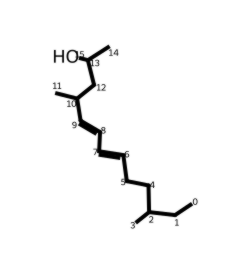 CCC(C)CCC=CC=CC(C)CC(C)O